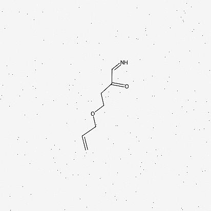 C=CCOCCC(=O)C=N